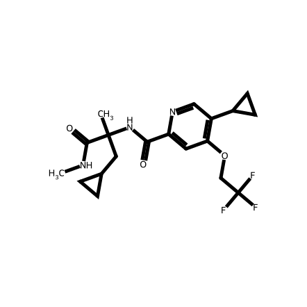 CNC(=O)C(C)(CC1CC1)NC(=O)c1cc(OCC(F)(F)F)c(C2CC2)cn1